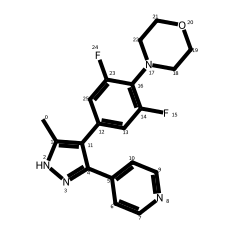 Cc1[nH]nc(-c2ccncc2)c1-c1cc(F)c(N2CCOCC2)c(F)c1